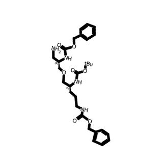 CC(C)(C)OC(=O)N[C@@H](CCCNC(=O)OCc1ccccc1)COC[C@@H](CN)NC(=O)OCc1ccccc1